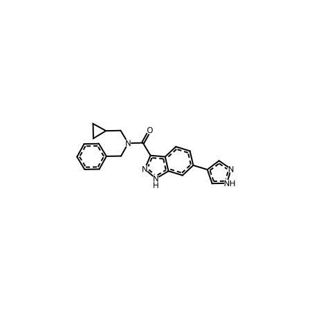 O=C(c1n[nH]c2cc(-c3cn[nH]c3)ccc12)N(Cc1ccccc1)CC1CC1